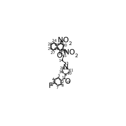 O=C(c1ccc(F)cc1)C1CCN(CCCOc2c([N+](=O)[O-])cc([N+](=O)[O-])c3ccccc23)CC1